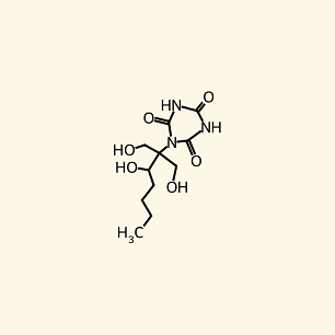 CCCCC(O)C(CO)(CO)n1c(=O)[nH]c(=O)[nH]c1=O